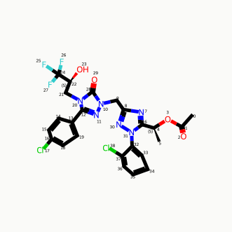 CC(=O)O[C@@H](C)c1nc(Cn2nc(-c3ccc(Cl)cc3)n(C[C@H](O)C(F)(F)F)c2=O)nn1-c1ccccc1Cl